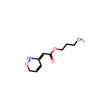 CCCCOC(=O)C=C1C=CCON1